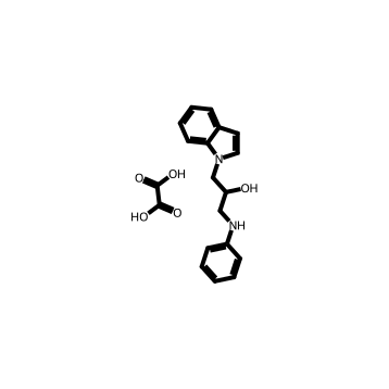 O=C(O)C(=O)O.OC(CNc1ccccc1)Cn1ccc2ccccc21